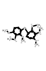 COc1ccc(Oc2ccc(OC)c(OC)c2OC)c(OC)c1OC